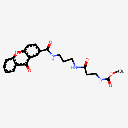 CC(C)(C)OC(=O)NCCC(=O)NCCCNC(=O)c1ccc2oc3ccccc3c(=O)c2c1